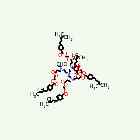 CC(C)=CCCC1=CCC(C(=O)OCCCCN(CCC(=O)OCCOC(=O)C2CC=C(CCC=C(C)C)CC2)CCN(CCN(CCC=O)CCC(=O)OCCOC(=O)C2CC=C(CCC=C(C)C)CC2)CCN(CCC(=O)OCCOC(=O)C2CC=C(CCC=C(C)C)CC2)CCC(=O)OCCOC(=O)C2CC=C(CCC=C(C)C)CC2)CC1